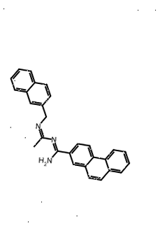 CC(=N/Cc1ccc2ccccc2c1)/N=C(\N)c1ccc2c(ccc3ccccc32)c1